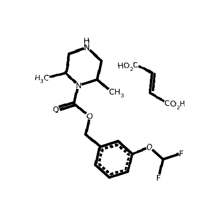 CC1CNCC(C)N1C(=O)OCc1cccc(OC(F)F)c1.O=C(O)C=CC(=O)O